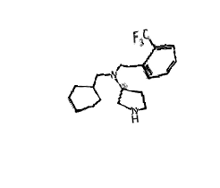 FC(F)(F)c1ccccc1CN(CC1CCCCC1)[C@H]1CCNC1